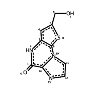 O=c1[nH]c2cc(CO)sc2n2ccnc12